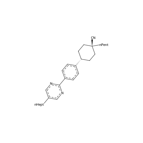 CCCCCCCc1cnc(-c2ccc([C@H]3CC[C@@](C#N)(CCCCC)CC3)cc2)nc1